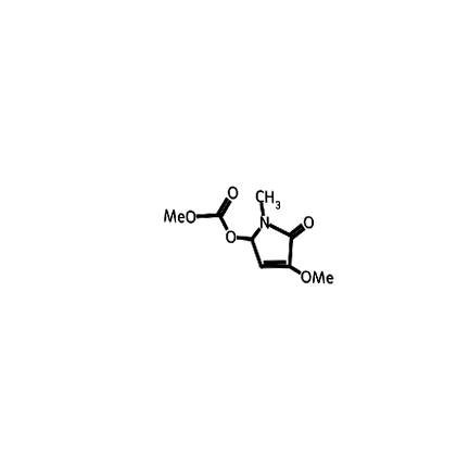 COC(=O)OC1C=C(OC)C(=O)N1C